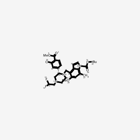 COC(=O)c1ccc([C@H]2CN(CC(F)F)CCN2Cc2c(OC)cc(C)c3c2ccn3C(=O)OC(C)(C)C)cc1Cl